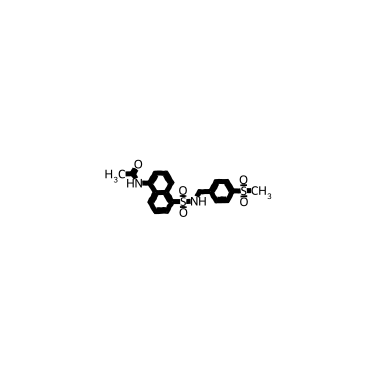 CC(=O)Nc1cccc2c(S(=O)(=O)NCc3ccc(S(C)(=O)=O)cc3)cccc12